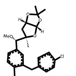 CO[C@@H](c1ccc(C)c(Cc2ccc(Cl)cc2)c1)[C@@]1(C)C[C@@H]2OC(C)(C)O[C@@H]2O1